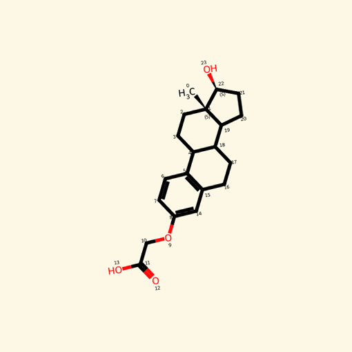 C[C@]12CCC3c4ccc(OCC(=O)O)cc4CCC3C1CC[C@@H]2O